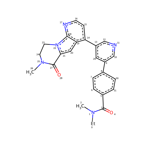 CCN(C)C(=O)c1ccc(-c2cncc(-c3ccnc4c3cc3n4CCN(C)C3=O)c2)cc1